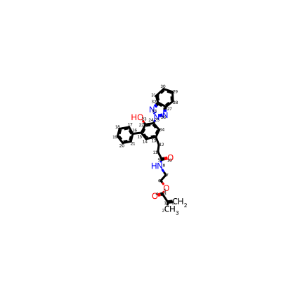 C=C(C)C(=O)OCCNC(=O)CCc1cc(-c2ccccc2)c(O)c(-n2nc3ccccc3n2)c1